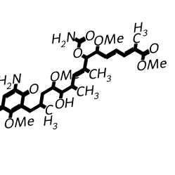 COC(=O)/C(C)=C/C=C/C(OC)C(OC(N)=O)/C(C)=C/C(C)C(O)C(CC(C)CC1=C(OC)C(=O)C=C(N)C1=O)OC